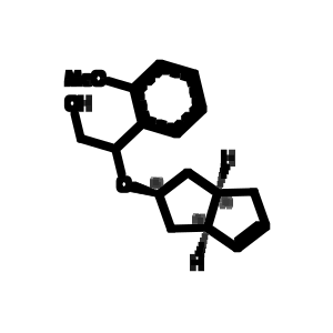 COc1ccccc1C(CO)O[C@H]1C[C@H]2CC=C[C@H]2C1